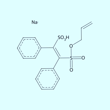 C=CCOS(=O)(=O)C(=C(c1ccccc1)S(=O)(=O)O)c1ccccc1.[Na]